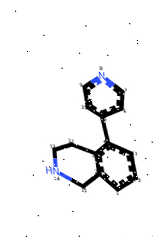 c1cc2c(c(-c3ccncc3)c1)CCNC2